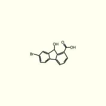 O=C(O)c1cccc2c1C(O)c1cc(Br)ccc1-2